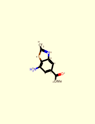 COC(=O)c1cc(N)c2sc(C(F)(F)F)nc2c1